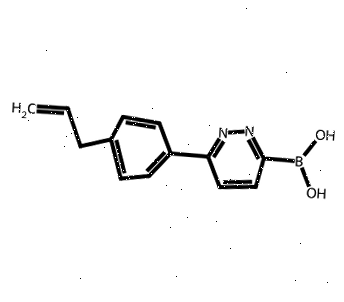 C=CCc1ccc(-c2ccc(B(O)O)nn2)cc1